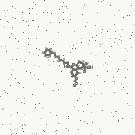 COCOc1ccc(C(=O)NCCCCCCCc2ccccc2)c(C2=CC=CC(Br)(C(=O)O)C2)c1